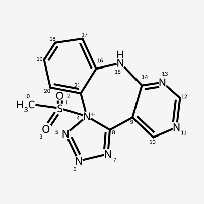 CS(=O)(=O)[N+]12N=NN=C1c1cncnc1Nc1ccccc12